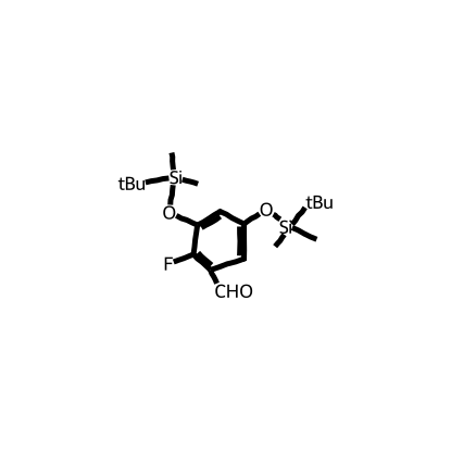 CC(C)(C)[Si](C)(C)Oc1cc(C=O)c(F)c(O[Si](C)(C)C(C)(C)C)c1